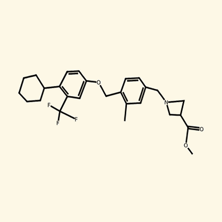 COC(=O)C1CN(Cc2ccc(COc3ccc(C4CCCCC4)c(C(F)(F)F)c3)c(C)c2)C1